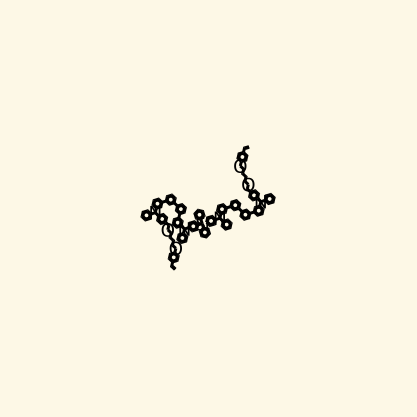 C=Cc1ccc(OCCCCOCc2ccc(N(c3ccccc3)c3cccc(-c4cccc(-c5cccc(-c6cccc(N(c7ccccc7)c7ccc([Si](c8ccccc8)(c8ccccc8)c8ccc(N(c9ccccc9)c9cccc(-c%10cccc(-c%11cccc(-c%12cccc(N(c%13ccccc%13)c%13ccc(COCCCCOc%14ccc(C=C)cc%14)cc%13)c%12)c%11)c%10)c9)cc8)cc7)c6)c5)c4)c3)cc2)cc1